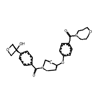 O=C(c1ccc(OC2CCN(C(=O)c3ccc(C4(O)COC4)cc3)CC2)cc1)N1CCOCC1